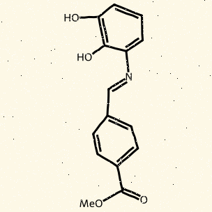 COC(=O)c1ccc(/C=N/c2cccc(O)c2O)cc1